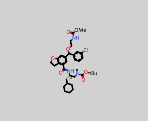 COC(=O)NCCOC(c1cccc(Cl)c1)c1cc2c(c(C(=O)N[C@@H](CC3CCCCC3)CN(C)C(=O)OC(C)(C)C)c1)CCO2